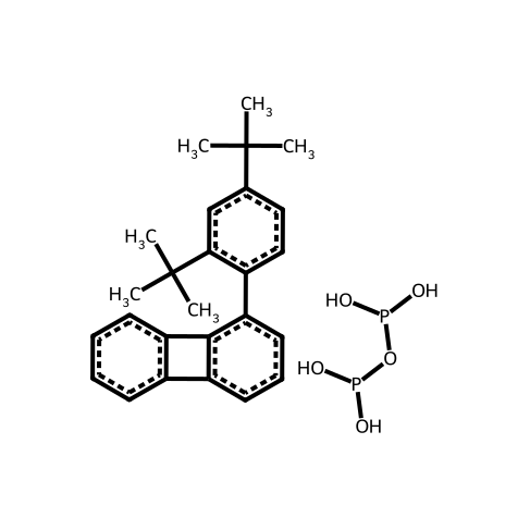 CC(C)(C)c1ccc(-c2cccc3c2-c2ccccc2-3)c(C(C)(C)C)c1.OP(O)OP(O)O